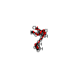 Cc1cc(OCCCc2c(C(=O)NS(=O)(=O)c3ccc(C(=O)CNCc4ccncc4)o3)[nH]c3c(-c4c(C)nn(CC(=O)NCCOCCOCCOCCNc5cccc6c5C(=O)N(C5CCC(=O)NC5=O)C6=O)c4C)c(Cl)ccc23)cc(C)c1Cl